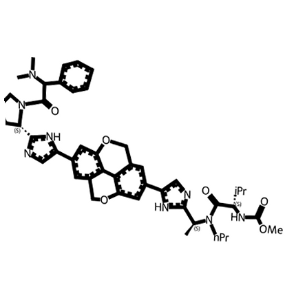 CCCN(C(=O)[C@@H](NC(=O)OC)C(C)C)[C@@H](C)c1ncc(-c2cc3c4c(c2)OCc2cc(-c5cnc([C@@H]6CCCN6C(=O)C(c6ccccc6)N(C)C)[nH]5)cc(c2-4)OC3)[nH]1